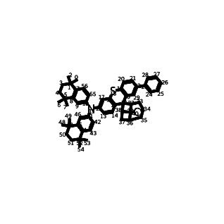 CC1(C)CCC(C)(C)c2cc(N(c3ccc4c(c3)Sc3ccc(-c5ccccc5)cc3C43C4CC5CC6CC3C64C5)c3ccc4c(c3)C(C)(C)CCC4(C)C)ccc21